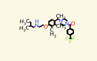 CCC(C)CNCCOc1ccc(C(C)N2CCN(C(=O)c3ccc(C(F)(F)F)cc3)CC2)c(C)c1C